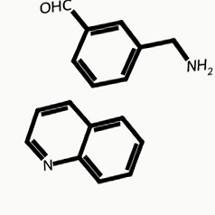 NCc1cccc(C=O)c1.c1ccc2ncccc2c1